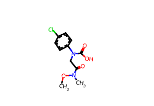 CON(C)C(=O)CN(C(=O)O)c1ccc(Cl)cc1